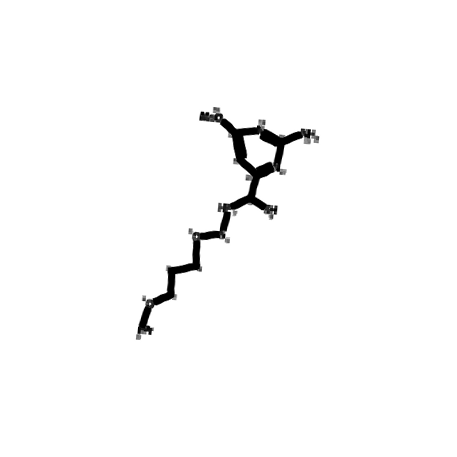 CCCOCCCOSPC(S)c1cc(OC)nc(N)n1